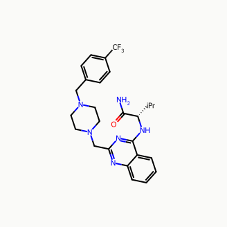 CC(C)[C@H](Nc1nc(CN2CCN(Cc3ccc(C(F)(F)F)cc3)CC2)nc2ccccc12)C(N)=O